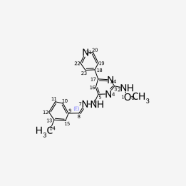 CONc1nc(N/N=C/c2cccc(C)c2)cc(-c2ccncc2)n1